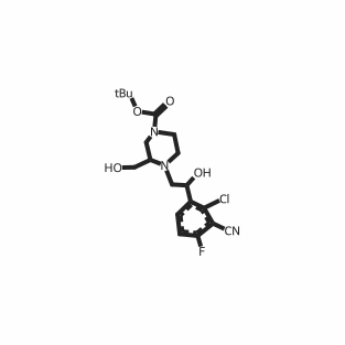 CC(C)(C)OC(=O)N1CCN(CC(O)c2ccc(F)c(C#N)c2Cl)C(CO)C1